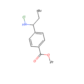 CC(C)OC(=O)c1ccc(C(CC(C)(C)C)NCl)cc1